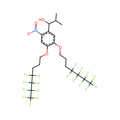 CC(C)C(O)c1cc(OCCCC(F)(F)C(F)(F)C(F)(F)C(F)(F)F)c(OCCCC(F)(F)C(F)(F)C(F)(F)C(F)(F)F)cc1[N+](=O)[O-]